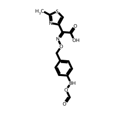 Cc1nc(/C(=N/OCc2ccc(BOC=O)cc2)C(=O)O)cs1